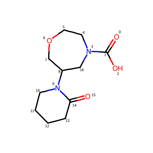 O=C(O)N1CCOCC(N2CCCCC2=O)C1